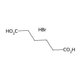 Br.O=C(O)CCCCC(=O)O